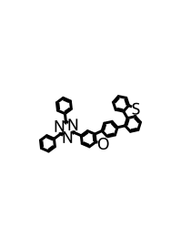 c1ccc(-c2nc(-c3ccccc3)nc(-c3ccc4oc5cc(-c6cccc7sc8ccccc8c67)ccc5c4c3)n2)cc1